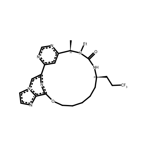 CCN1C(=O)N[C@@H](CCC(F)(F)F)CCCCCOc2nc(cn3ccnc23)-c2cc(ncn2)[C@H]1C